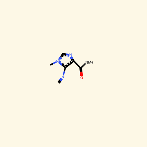 C=Nc1c(C(=O)NC)ncn1C